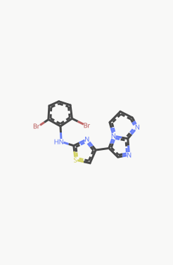 Brc1cccc(Br)c1Nc1nc(-c2cnc3ncccn23)cs1